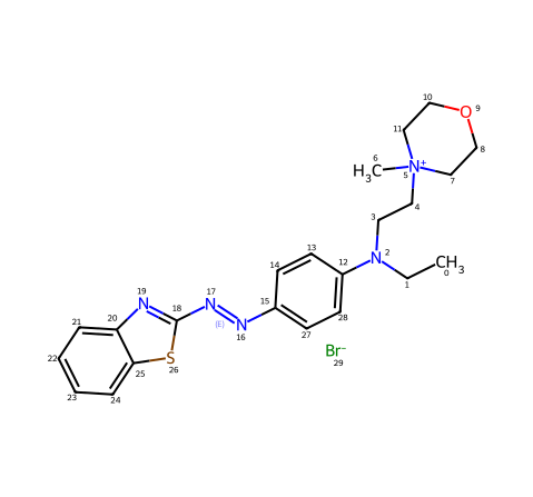 CCN(CC[N+]1(C)CCOCC1)c1ccc(/N=N/c2nc3ccccc3s2)cc1.[Br-]